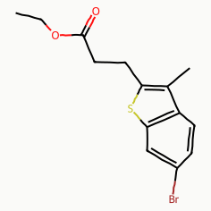 CCOC(=O)CCc1sc2cc(Br)ccc2c1C